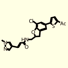 CC(=O)c1ccc(-c2cc(Cl)c3c(c2)CC(CNC(=O)C=Cc2cnn(C)c2)O3)s1